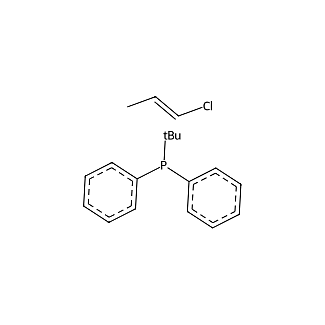 CC(C)(C)P(c1ccccc1)c1ccccc1.CC=CCl